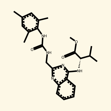 COC(=O)[C@@H](Nc1nc(CNC(=O)Nc2c(C)cc(C)cc2C)nc2ccccc12)C(C)C